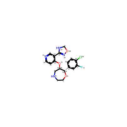 Fc1cc([C@@H]2OCCNC[C@H]2Oc2ccncc2C2=NOCN2)ccc1Cl